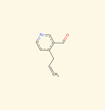 C=CCc1ccncc1C=O